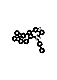 c1ccc(-c2ccc(-c3nc(-c4cccc(-c5ccccc5)c4)nc(-c4cccc5oc6ccc(-c7ccc(-c8ccc9c(c8)-c8ccccc8C98c9ccccc9-c9ccccc98)cc7)cc6c45)n3)cc2)cc1